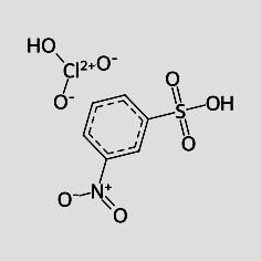 O=[N+]([O-])c1cccc(S(=O)(=O)O)c1.[O-][Cl+2]([O-])O